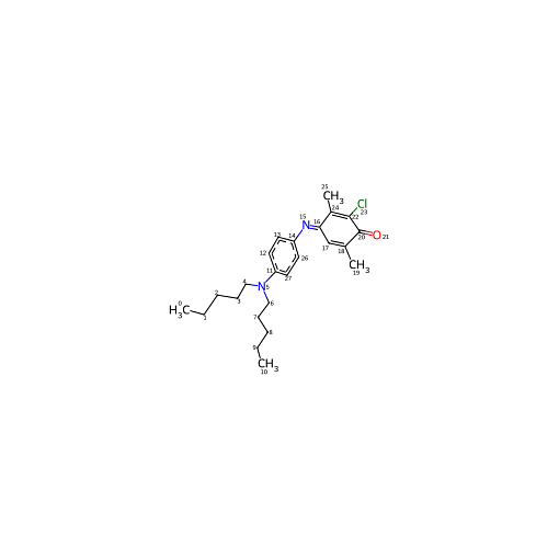 CCCCCN(CCCCC)c1ccc(/N=C2\C=C(C)C(=O)C(Cl)=C2C)cc1